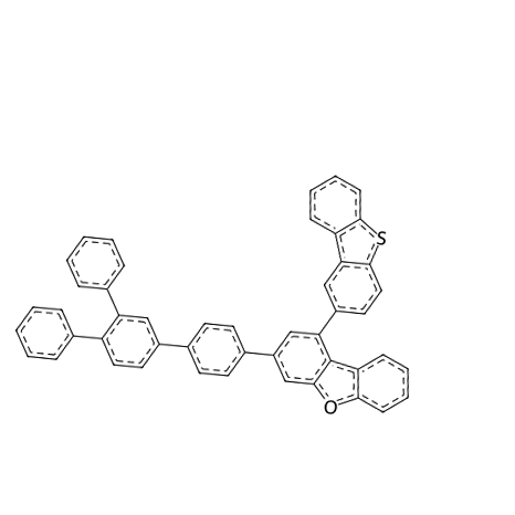 c1ccc(-c2ccc(-c3ccc(-c4cc(-c5ccc6sc7ccccc7c6c5)c5c(c4)oc4ccccc45)cc3)cc2-c2ccccc2)cc1